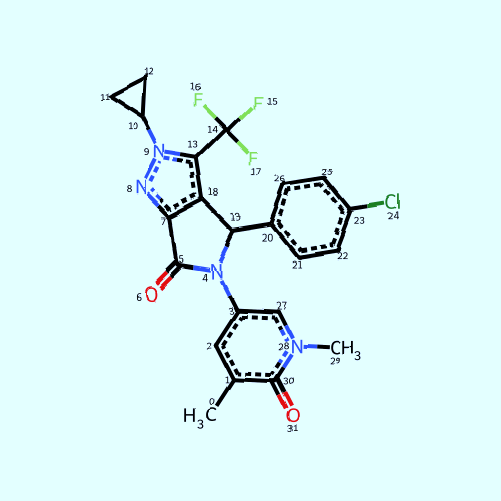 Cc1cc(N2C(=O)c3nn(C4CC4)c(C(F)(F)F)c3C2c2ccc(Cl)cc2)cn(C)c1=O